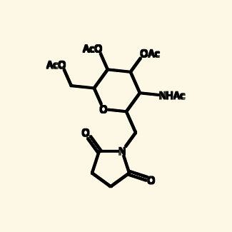 CC(=O)NC1C(CN2C(=O)CCC2=O)OC(COC(C)=O)C(OC(C)=O)C1OC(C)=O